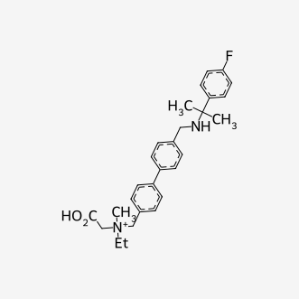 CC[N+](C)(CC(=O)O)Cc1ccc(-c2ccc(CNC(C)(C)c3ccc(F)cc3)cc2)cc1